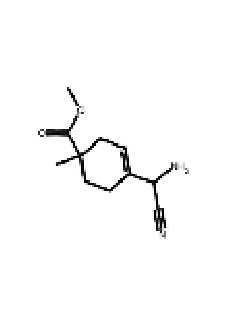 COC(=O)C1(C)CC=C(C(N)C#N)CC1